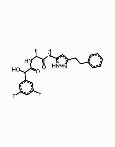 C[C@H](NC(=O)C(O)c1cc(F)cc(F)c1)C(=O)Nc1cc(CCc2ccccc2)n[nH]1